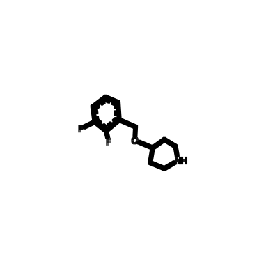 Fc1cccc(COC2CCNCC2)c1F